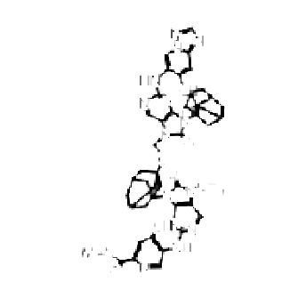 CNC(=O)c1cc(C)c(Nc2ncc3c(n2)n(C24CC5CC(CC(OCn6c(=O)n(C78CC9CC(C7)C(=O)C(C9)C8)c7nc(Nc8cn9ncnc9cc8C)ncc76)(C5)C2)C4)c(=O)n3C)cn1